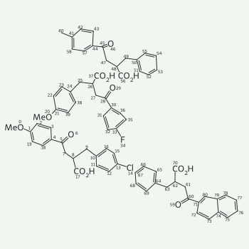 COc1ccc(C(=O)CC(Cc2ccc(Cl)cc2)C(=O)O)cc1.COc1ccc(CC(CC(=O)c2ccc(F)cc2)C(=O)O)cc1.Cc1ccc(C(=O)CC(Cc2ccccc2)C(=O)O)cc1.O=C(CC(Cc1ccccc1)C(=O)O)c1ccc2ccccc2c1